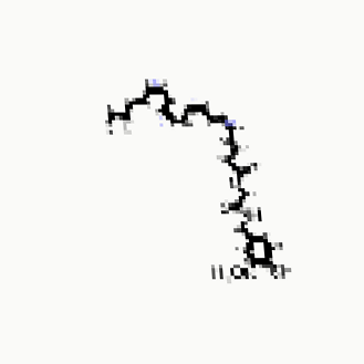 CCCCC/C=C\C/C=C\C/C=C\C/C=C\CCCC(=O)OCC(=O)NCc1ccc(O)c(OC)c1